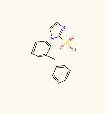 Cc1ccccc1.O=S(=O)(O)c1ncc[nH]1.c1ccccc1